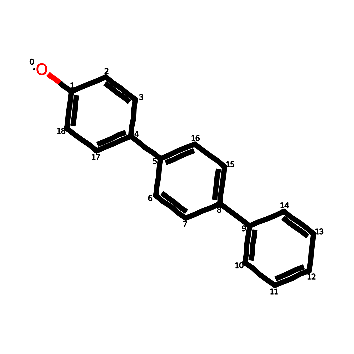 [O]c1ccc(-c2ccc(-c3ccccc3)cc2)cc1